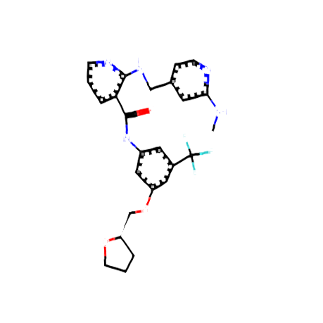 CNc1cc(CNc2ncccc2C(=O)Nc2cc(OC[C@H]3CCCO3)cc(C(F)(F)F)c2)ccn1